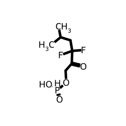 CC(C)CC(F)(F)C(=O)CO[PH](=O)O